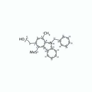 CSc1c(CC(=O)O)cc(C)c2c1c1ccccc1n2Cc1ccccc1